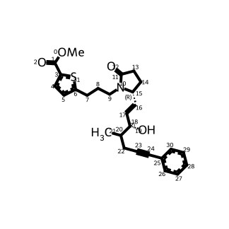 COC(=O)c1ccc(CCCN2C(=O)CC[C@@H]2C=C[C@H](O)C(C)CC#Cc2ccccc2)s1